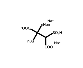 CCCCCCCCCC(CCCC)(C(=O)[O-])C(C(=O)[O-])S(=O)(=O)O.[Na+].[Na+]